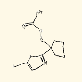 CCCC(=O)OOC1(c2ncc(I)s2)CCCC1